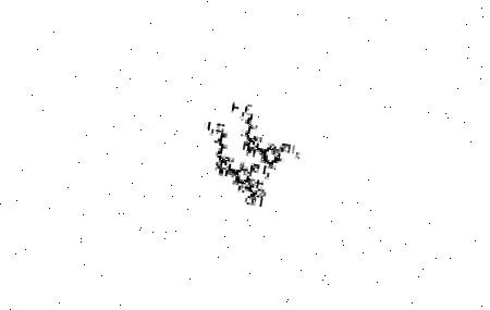 CCCCCc1noc(C2=CCCN(C)C2)n1.CCCCCc1noc(C2=CCCN(C)C2)n1.O=C(O)C(=O)O